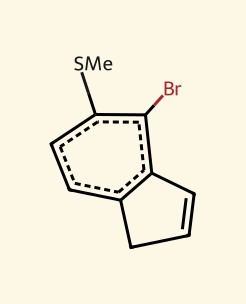 CSc1ccc2c(c1Br)C=CC2